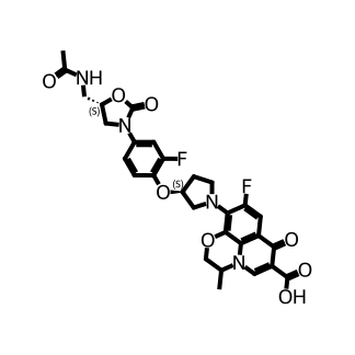 CC(=O)NC[C@H]1CN(c2ccc(O[C@H]3CCN(c4c(F)cc5c(=O)c(C(=O)O)cn6c5c4OCC6C)C3)c(F)c2)C(=O)O1